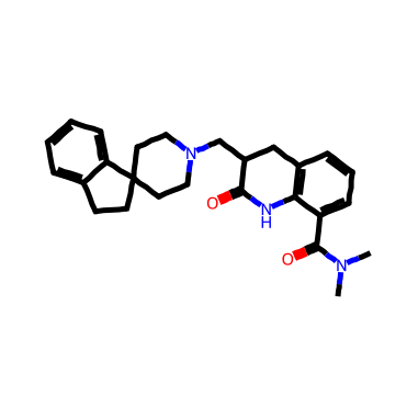 CN(C)C(=O)c1cccc2c1NC(=O)C(CN1CCC3(CCc4ccccc43)CC1)C2